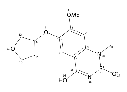 COc1cc2c(cc1OC1CCOC1)C(O)=N[S+]([O-])N2C